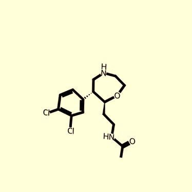 CC(=O)NCC[C@@H]1OCCNC[C@H]1c1ccc(Cl)c(Cl)c1